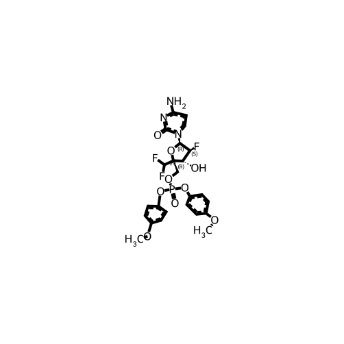 COc1ccc(OP(=O)(OC[C@@]2(C(F)F)O[C@@H](n3ccc(N)nc3=O)[C@@H](F)[C@@H]2O)Oc2ccc(OC)cc2)cc1